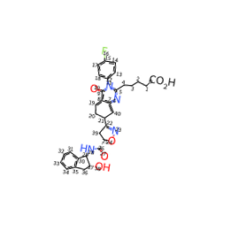 O=C(O)CCCCc1nc2c(c(=O)n1-c1ccc(F)cc1)=CCC(C1=NO[C@H](C(=O)N[C@H]3c4ccccc4C[C@H]3O)C1)C=2